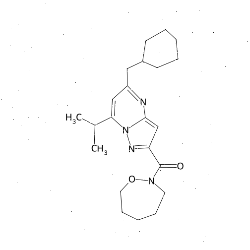 CC(C)c1cc(CC2CCCCC2)nc2cc(C(=O)N3CCCCCO3)nn12